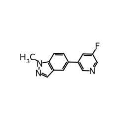 Cn1ncc2cc(-c3cncc(F)c3)ccc21